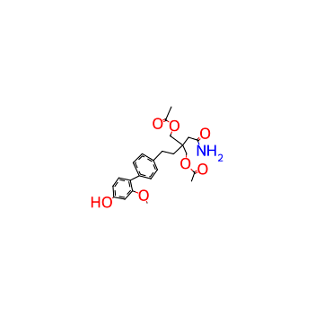 COc1cc(O)ccc1-c1ccc(CCC(COC(C)=O)(COC(C)=O)CC(N)=O)cc1